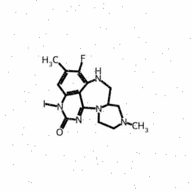 Cc1cc2c3c(nc(=O)n2I)N2CCN(C)CC2CNc3c1F